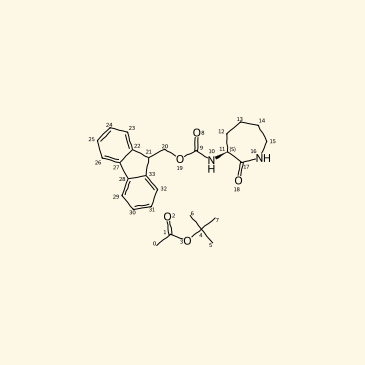 CC(=O)OC(C)(C)C.O=C(N[C@H]1CCCCNC1=O)OCC1c2ccccc2-c2ccccc21